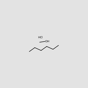 CCCCCC.CO.Cl